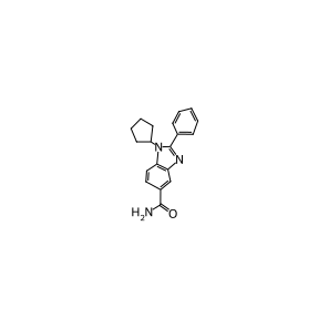 NC(=O)c1ccc2c(c1)nc(-c1ccccc1)n2C1CCCC1